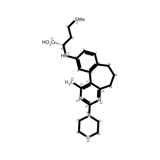 CSCC[C@H](Nc1ccc2c(c1)-c1c(C)nc(N3CCOCC3)nc1CCC2)C(=O)O